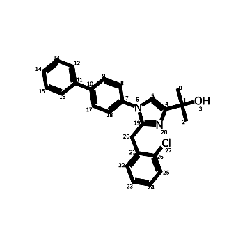 CC(C)(O)c1cn(-c2ccc(-c3ccccc3)cc2)c(Cc2ccccc2Cl)n1